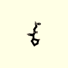 O=[C]CCNC(=O)C1CCCC1